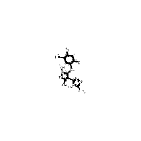 Cc1nnc(-c2c(C)nn(C)c2Oc2cc(O)c(Cl)cc2Cl)s1